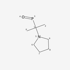 CC(C)(P=O)N1CCCC1